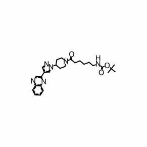 CC(C)(C)OC(=O)NCCCCCC(=O)N1CCC(n2cc(-c3cnc4ccccc4n3)cn2)CC1